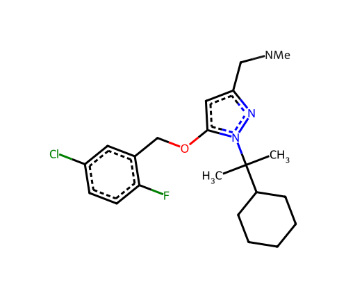 CNCc1cc(OCc2cc(Cl)ccc2F)n(C(C)(C)C2CCCCC2)n1